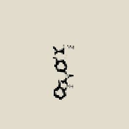 COC(=O)C(C)Oc1ccc(N(C)c2nc3ccccc3[nH]2)cc1